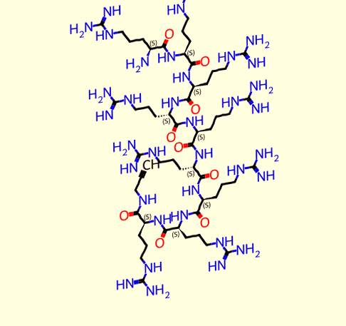 C#CCNC(=O)[C@H](CCCNC(=N)N)NC(=O)[C@H](CCCNC(=N)N)NC(=O)[C@H](CCCNC(=N)N)NC(=O)[C@H](CCCNC(=N)N)NC(=O)[C@H](CCCNC(=N)N)NC(=O)[C@H](CCCNC(=N)N)NC(=O)[C@H](CCCNC(=N)N)NC(=O)[C@H](CCCNC(=N)N)NC(=O)[C@@H](N)CCCNC(=N)N